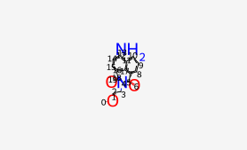 COCCN1C(=O)c2cccc3c(N)ccc(c23)C1=O